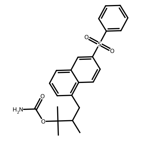 CC(Cc1cccc2cc(S(=O)(=O)c3ccccc3)ccc12)C(C)(C)OC(N)=O